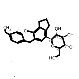 CCc1ccc(Cc2cc([C@@H]3O[C@H](CO)[C@@H](O)[C@H](O)[C@H]3O)c3c(c2Cl)CCC3)cc1